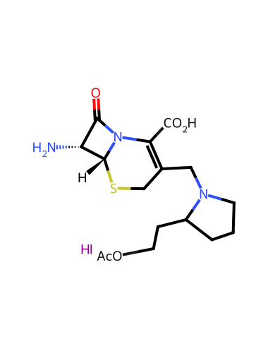 CC(=O)OCCC1CCCN1CC1=C(C(=O)O)N2C(=O)[C@@H](N)[C@H]2SC1.I